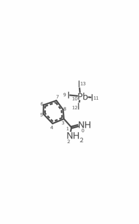 N=C(N)c1ccccc1.[I][Pb]([I])([I])[I]